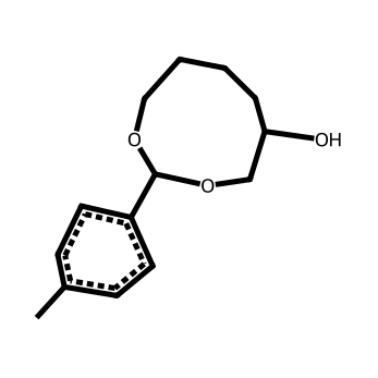 Cc1ccc(C2OCCCCC(O)CO2)cc1